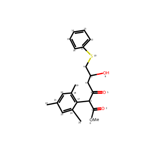 COC(=O)C(C(=O)CC(O)CSc1ccccc1)c1c(C)cc(C)cc1C